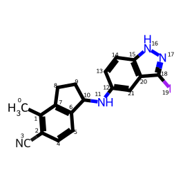 Cc1c(C#N)ccc2c1CCC2Nc1ccc2[nH]nc(I)c2c1